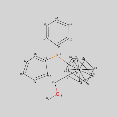 COC[C]12[CH]3[CH]4[CH]5[C]1(P(c1ccccc1)c1ccccc1)[Fe]43521678[CH]2[CH]1[CH]6[CH]7[CH]28